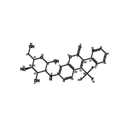 O=c1oc2cc(NC3C(O)OC(CO)[C@H](O)C3O)ccc2c(C(F)(F)F)c1-c1ccccn1